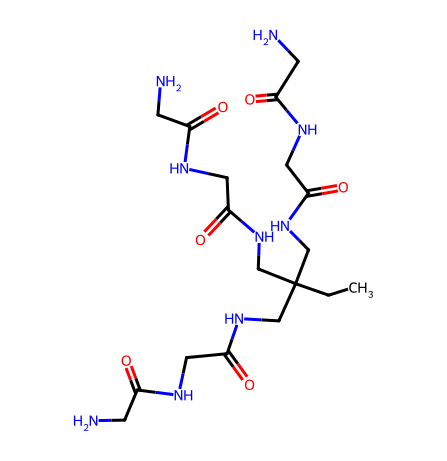 CCC(CNC(=O)CNC(=O)CN)(CNC(=O)CNC(=O)CN)CNC(=O)CNC(=O)CN